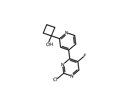 OC1(c2cc(-c3nc(Cl)ncc3F)ccn2)CCC1